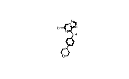 Brc1cn2ncnc2c(Nc2ccc(N3CCOCC3)cc2)n1